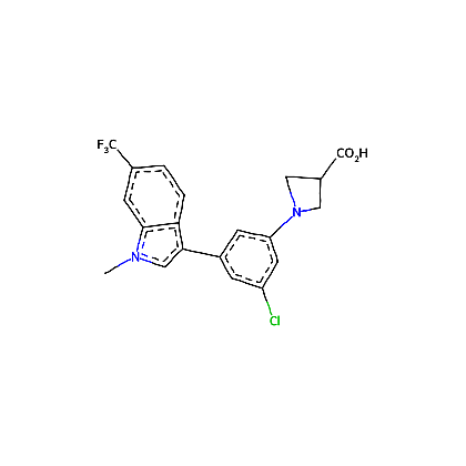 Cn1cc(-c2cc(Cl)cc(N3CC(C(=O)O)C3)c2)c2ccc(C(F)(F)F)cc21